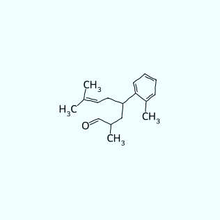 CC(C)=CCC(CC(C)C=O)c1ccccc1C